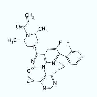 C=CC(=O)N1[C@H](C)CN(c2nc(=O)n(-c3c(C4CC4)ncnc3C3CC3)c3nc(-c4ccccc4F)c(F)cc23)C[C@@H]1C